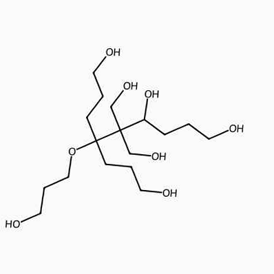 OCCCOC(CCCO)(CCCO)C(CO)(CO)C(O)CCCO